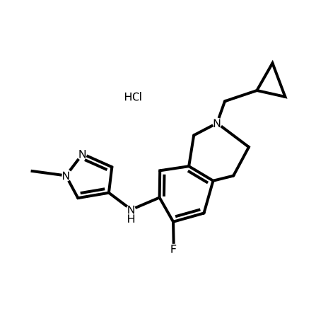 Cl.Cn1cc(Nc2cc3c(cc2F)CCN(CC2CC2)C3)cn1